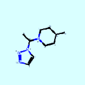 CC1CCN(C(C)n2ccnn2)CC1